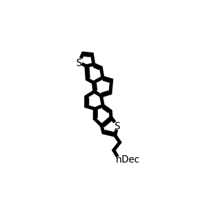 CCCCCCCCCCCCc1cc2cc3ccc4c5cc6sccc6cc5ccc4c3cc2s1